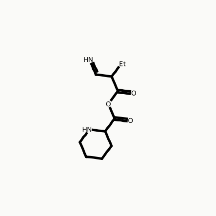 CCC(C=N)C(=O)OC(=O)C1CCCCN1